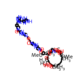 CO[C@H]1C[C@@H]2CC[C@@H](C)[C@@](O)(O2)C(=O)C(=O)N2CCCC[C@H]2C(=O)O[C@H]([C@H](C)C[C@@H]2CC[C@@H](OC(=O)N3CCc4nc(N5CCN(C(=O)CCOCCN6CCN(c7ncc(C(=O)N8CCc9cc(Cn%10nc(-c%11cnc%12[nH]ccc%12c%11)c%11c(N)ncnc%11%10)ccc9C8)cn7)CC6)CC5)ncc4C3)[C@H](OC)C2)CC(=O)[C@H](C)/C=C(\C)[C@@H](O)[C@@H](O)C(=O)[C@H](C)C[C@H](C)/C=C/C=C/C=C/1C